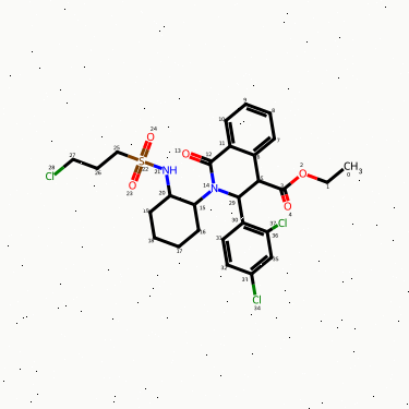 CCOC(=O)C1c2ccccc2C(=O)N(C2CCCCC2NS(=O)(=O)CCCCl)C1c1ccc(Cl)cc1Cl